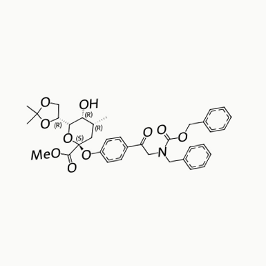 COC(=O)[C@@]1(Oc2ccc(C(=O)CN(Cc3ccccc3)C(=O)OCc3ccccc3)cc2)C[C@@H](C)[C@@H](O)C([C@H]2COC(C)(C)O2)O1